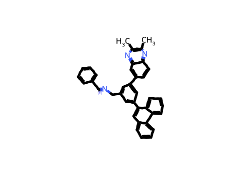 Cc1nc2ccc(-c3cc(C/N=C/c4ccccc4)cc(-c4cc5ccccc5c5ccccc45)c3)cc2nc1C